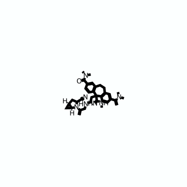 C=C(c1ccc2c(c1)CCc1cc(C(=O)N(C)C)ccc1C2(C[C@H](C)NCC(=C)N1C(C#N)C[C@@H]2C[C@@H]21)C(=N)NC)N(C)C